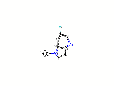 Cn1ccc2ncc(F)cc21